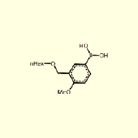 CCCCCCOCc1cc(B(O)O)ccc1OC